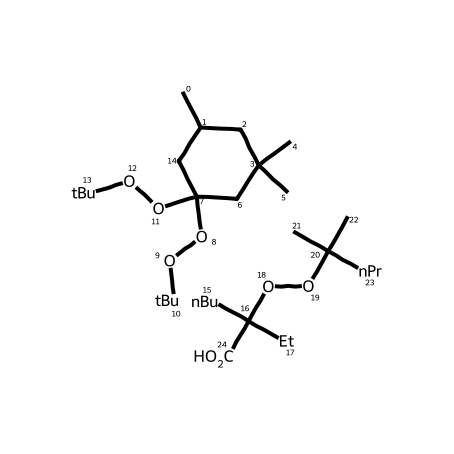 CC1CC(C)(C)CC(OOC(C)(C)C)(OOC(C)(C)C)C1.CCCCC(CC)(OOC(C)(C)CCC)C(=O)O